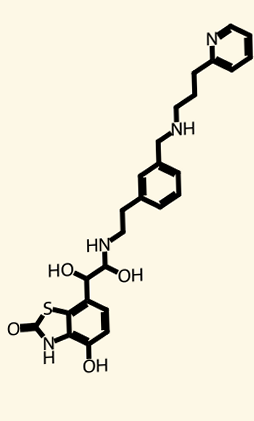 O=c1[nH]c2c(O)ccc(C(O)C(O)NCCc3cccc(CNCCCc4ccccn4)c3)c2s1